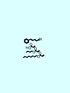 C=CC(=O)O.C=CC(=O)OCCCC.C=CC(=O)OCCCCCCCC.N#CC=CC=Cc1ccccc1